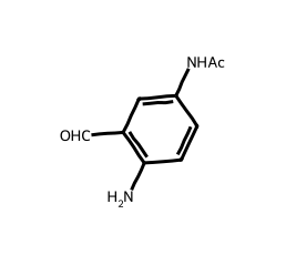 CC(=O)Nc1ccc(N)c(C=O)c1